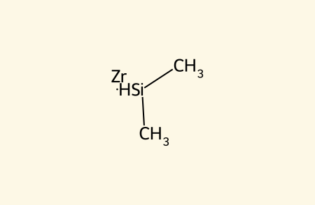 C[SiH]C.[Zr]